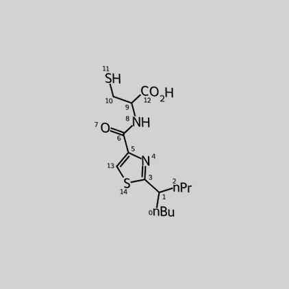 CCCCC(CCC)c1nc(C(=O)NC(CS)C(=O)O)cs1